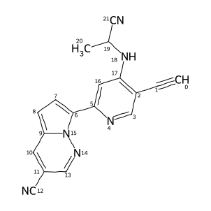 C#Cc1cnc(-c2ccc3cc(C#N)cnn23)cc1NC(C)C#N